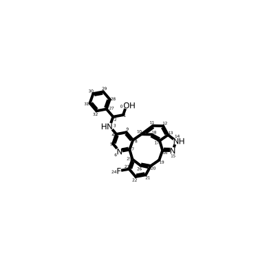 OCC(Nc1cnc2c(c1)-c1ccc3[nH]nc(c3c1)Cc1ccc(F)c-2c1)c1ccccc1